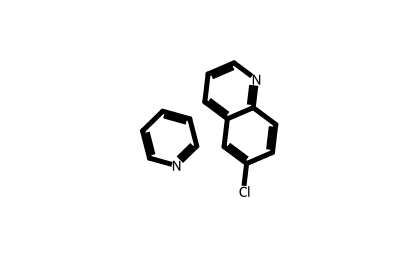 Clc1ccc2ncccc2c1.c1ccncc1